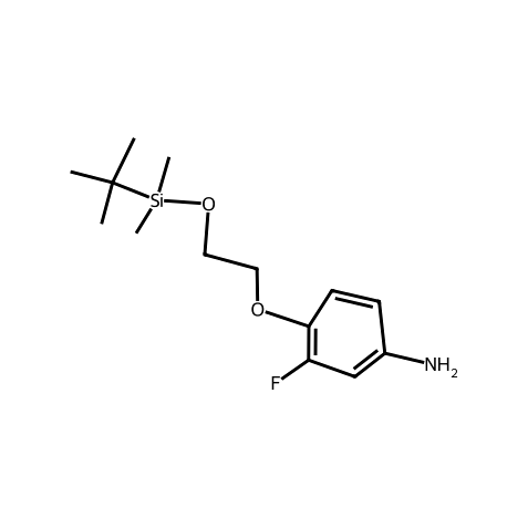 CC(C)(C)[Si](C)(C)OCCOc1ccc(N)cc1F